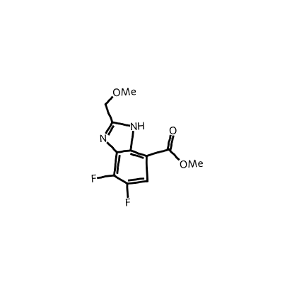 COCc1nc2c(F)c(F)cc(C(=O)OC)c2[nH]1